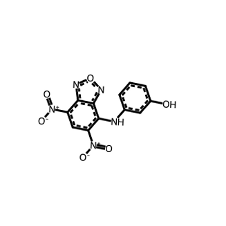 O=[N+]([O-])c1cc([N+](=O)[O-])c2nonc2c1Nc1cccc(O)c1